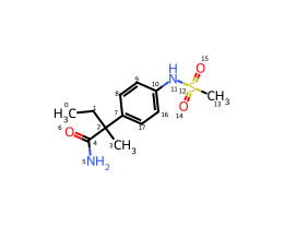 CCC(C)(C(N)=O)c1ccc(NS(C)(=O)=O)cc1